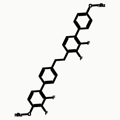 CCCCOc1ccc(-c2ccc(CCc3ccc(-c4ccc(OCCCC)c(F)c4F)cc3)c(F)c2F)cc1